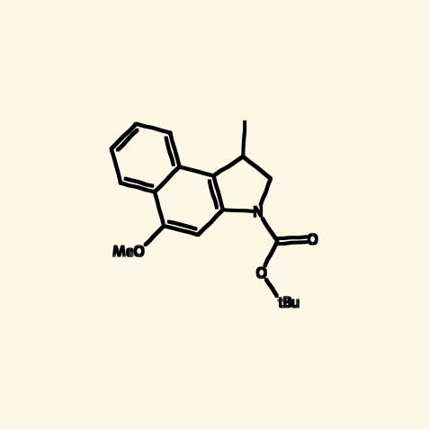 COc1cc2c(c3ccccc13)C(C)CN2C(=O)OC(C)(C)C